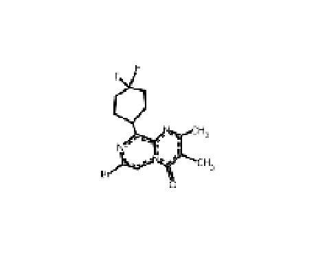 Cc1nc2c(C3CCC(F)(F)CC3)nc(Br)cn2c(=O)c1C